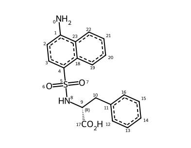 Nc1ccc(S(=O)(=O)N[C@H](Cc2ccccc2)C(=O)O)c2ccccc12